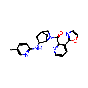 Cc1ccc(NC2CC3CC2N(C(=O)c2ncccc2-c2ncco2)C3)nc1